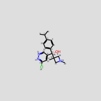 CC(C)c1ccc([C@](O)(c2cnnc(Cl)c2)C2(C)CN(C)C2)cc1